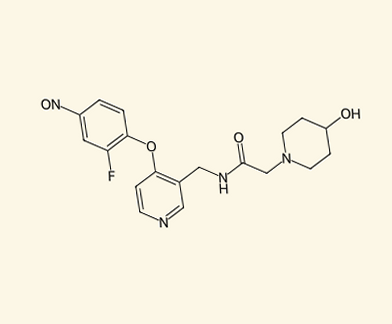 O=Nc1ccc(Oc2ccncc2CNC(=O)CN2CCC(O)CC2)c(F)c1